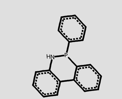 c1ccc(P2Nc3ccccc3-c3ccccc32)cc1